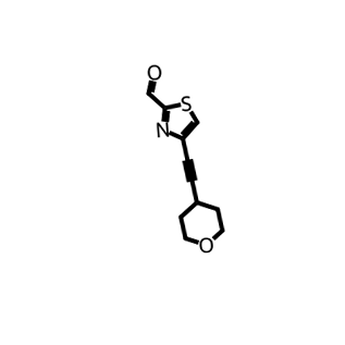 O=Cc1nc(C#CC2CCOCC2)cs1